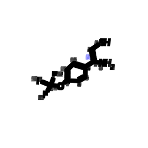 N/C(=C\S)c1ccc(OC(F)(F)F)cc1